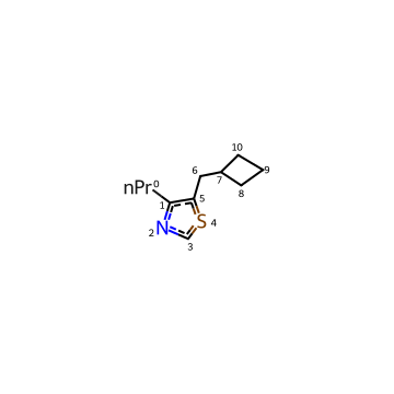 CCCc1ncsc1CC1CCC1